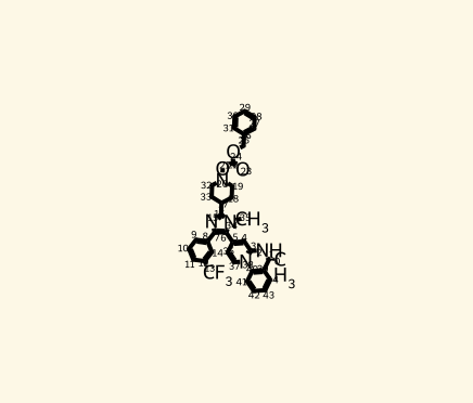 C[C@H](Nc1cc(-c2c(-c3cccc(C(F)(F)F)c3)nc(C3CCN(OC(=O)OCc4ccccc4)CC3)n2C)ccn1)c1ccccc1